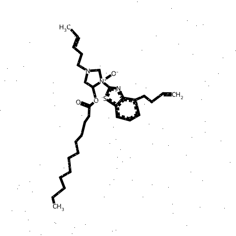 C=CCCc1cccc2sc([N+]3([O-])CN(CCC=CC)CC3OC(=O)CCCCCCCCCCC)nc12